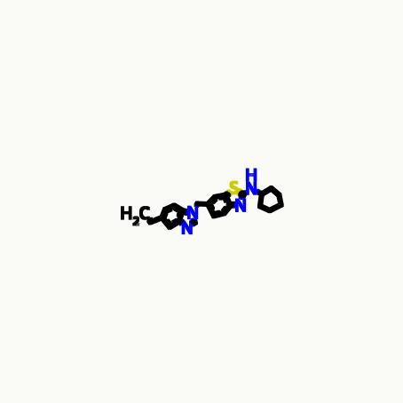 C=Cc1ccc2c(c1)ncn2Cc1ccc2nc(NC3CCCCC3)sc2c1